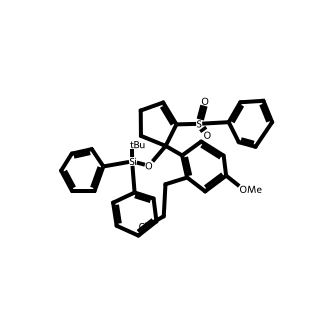 COc1ccc(C2(O[Si](c3ccccc3)(c3ccccc3)C(C)(C)C)CCC=C2S(=O)(=O)c2ccccc2)c(CCCl)c1